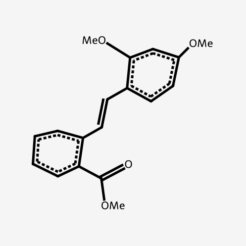 COC(=O)c1ccccc1C=Cc1ccc(OC)cc1OC